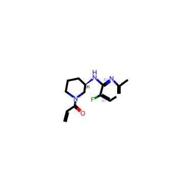 C=CC(=O)N1CCC[C@@H](NC(=N/C(=C)C)/C(F)=C\C)C1